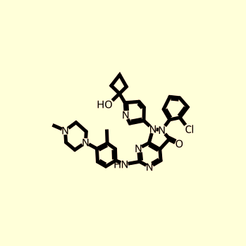 Cc1cc(Nc2ncc3c(=O)n(-c4ccccc4Cl)n(-c4ccc(C5(O)CCC5)nc4)c3n2)ccc1N1CCN(C)CC1